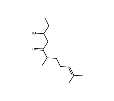 CCC(O)CC(=O)C(C)CCC=C(C)C